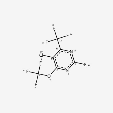 Fc1nc(OC(F)(F)F)c(Cl)c(C(F)(F)F)n1